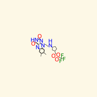 Cc1cc2nc3c(=O)[nH]c(=O)nc-3n(CCNC3CCC(C(=O)OC(=O)C(F)(F)F)C3)c2cc1C